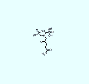 NC(=O)CCC(=O)CN(CP(=O)(O)O)CP(=O)(O)O